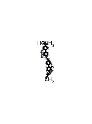 C=CCCOc1ccc(-c2ccc(/C=C/c3ccc(C4CCC(C(C)O)CC4)c(F)c3F)cc2)c(F)c1F